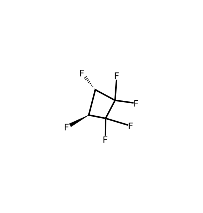 F[C@H]1[C@H](F)C(F)(F)C1(F)F